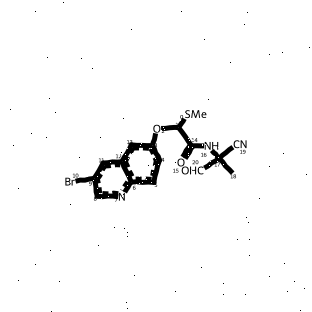 CSC(Oc1ccc2ncc(Br)cc2c1)C(=O)NC(C)(C#N)C=O